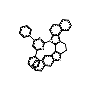 c1ccc(-c2cc(-c3ccccc3)nc(-n3c4c(c5c6ccccc6ccc53)CCc3sc5cc6ccccc6cc5c3-4)n2)cc1